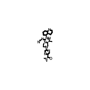 CC(C)[C@H]1CN(c2cnc(C(=O)N(C)C)cn2)CCN1/C(=N\C#N)Nc1cccc2ncccc12